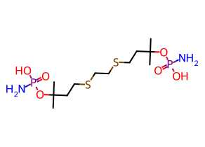 CC(C)(CCSCCSCCC(C)(C)OP(N)(=O)O)OP(N)(=O)O